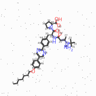 CCCCCCCOc1ccc(-c2cnc(-c3ccc(C[C@H](NC(=O)/C=C(\C)N(N)C(C)(C)C)C(=O)N4CCC[C@H]4C(=O)O)cc3)nc2)cc1